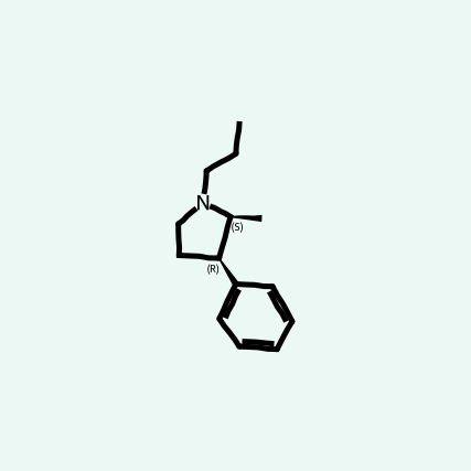 CCCN1CC[C@H](c2ccccc2)[C@@H]1C